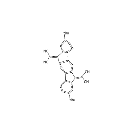 CC(C)(C)c1ccc2c(c1)C(=C(C#N)C#N)c1cc3c(cc1-2)C(=C(C#N)C#N)c1cc(C(C)(C)C)ccc1-3